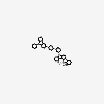 CC1(C)c2ccccc2-c2ccc3c(c21)c1ccccc1n3-c1cccc(-c2ccc(-c3ccc4c(c3)c3ccccc3n4-c3ccccc3)cc2)c1